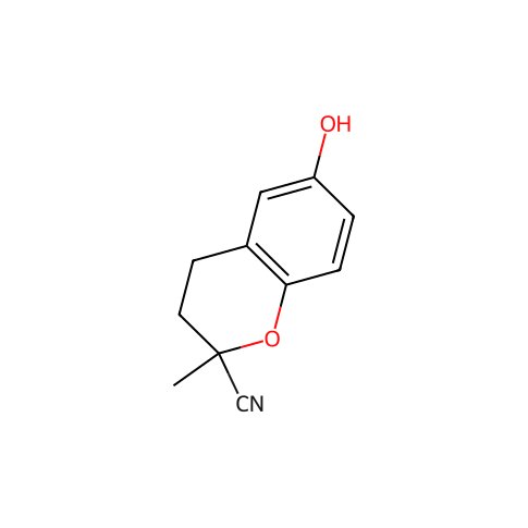 CC1(C#N)CCc2cc(O)ccc2O1